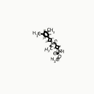 CCN(C(=O)C1CC(NC(=O)OC)C1)C1CC(c2cc(C)cc(C)c2)C1